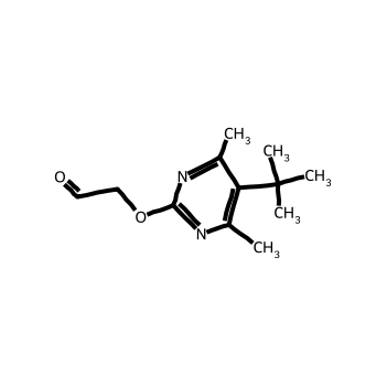 Cc1nc(OCC=O)nc(C)c1C(C)(C)C